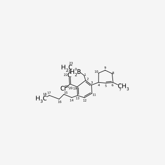 BCc1c(C2C=C(C)CCC2)ccc(CCCCC)c1C(Cl)=C=C